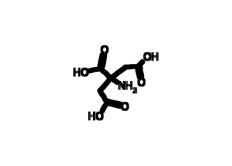 NC(CC(=O)O)(CC(=O)O)C(=O)O